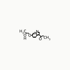 CCC(=O)c1cnn2cc(OCC(C)O)ccc12